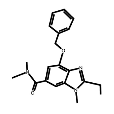 CCc1nc2c(OCc3ccccc3)cc(C(=O)N(C)C)cc2n1C